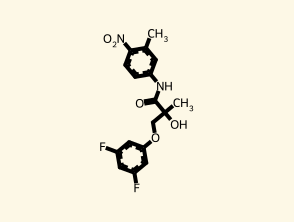 Cc1cc(NC(=O)C(C)(O)COc2cc(F)cc(F)c2)ccc1[N+](=O)[O-]